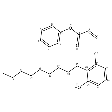 C=CC(=O)Oc1ccccc1.CCCCCCCCCc1c(C)cccc1O